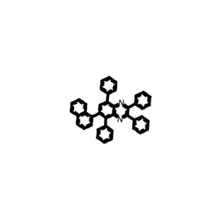 c1ccc(-c2nc3c(-c4ccccc4)cc(-c4cccc5ccccc45)c(-c4ccccc4)c3nc2-c2ccccc2)cc1